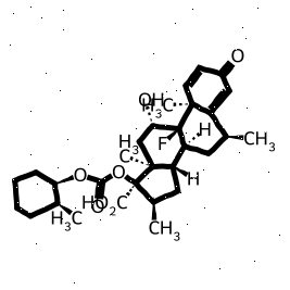 C[C@@H]1C[C@H]2[C@@H]3C[C@H](C)C4=CC(=O)C=C[C@]4(C)[C@@]3(F)[C@@H](O)C[C@]2(C)[C@@]1(OC(=O)O[C@@H]1CCCC[C@@H]1C)C(=O)O